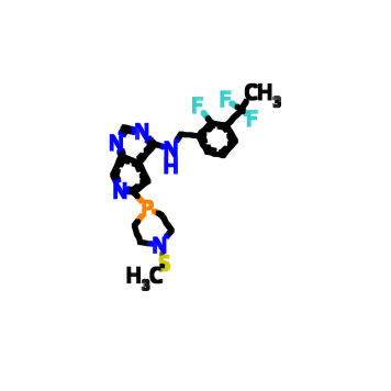 CSN1CCP(c2cc3c(NCc4cccc(C(C)(F)F)c4F)ncnc3cn2)CC1